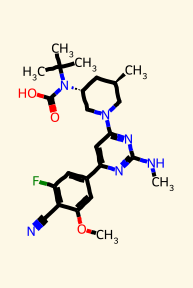 CNc1nc(-c2cc(F)c(C#N)c(OC)c2)cc(N2C[C@H](C)C[C@@H](N(C(=O)O)C(C)(C)C)C2)n1